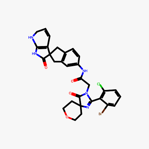 O=C(CN1C(=O)C2(CCOCC2)N=C1c1c(Cl)cccc1Br)Nc1ccc2c(c1)CC1(C2)C(=O)NC2=C1C=CCN2